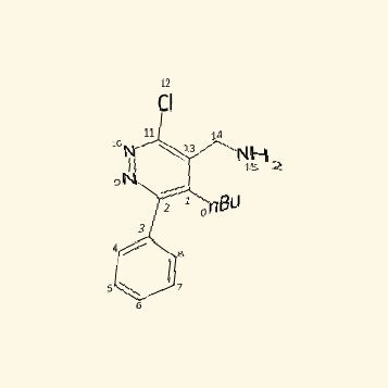 CCCCc1c(-c2ccccc2)nnc(Cl)c1CN